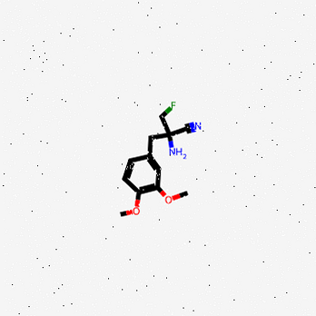 COc1ccc(CC(N)(C#N)CF)cc1OC